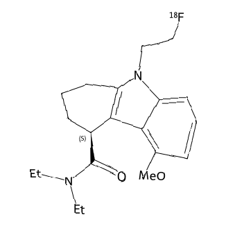 CCN(CC)C(=O)[C@H]1CCCc2c1c1c(OC)cccc1n2CC[18F]